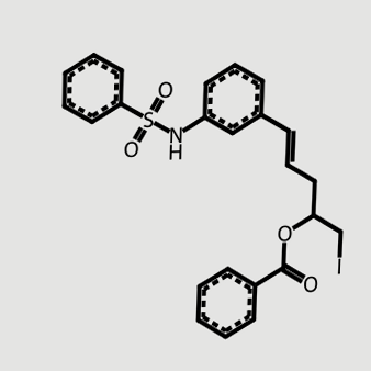 O=C(OC(CI)CC=Cc1cccc(NS(=O)(=O)c2ccccc2)c1)c1ccccc1